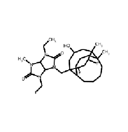 CCN1C(=O)N(CC23CC(O)CC(C)(C(F)CC2F)C2(C)CCCCC3CCC2)C2C1N(C)C(=O)N2CI